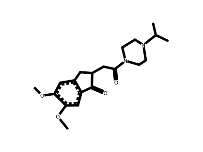 COc1cc2c(cc1OC)C(=O)C(CC(=O)N1CCN(C(C)C)CC1)C2